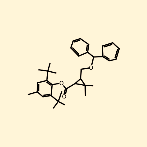 Cc1cc(C(C)(C)C)c(OC(=O)C2C(COC(c3ccccc3)c3ccccc3)C2(C)C)c(C(C)(C)C)c1